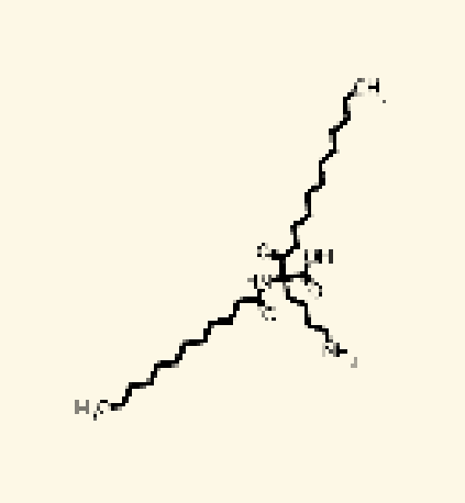 CCCCCCCCCCCC(=O)N[C@@](CCCCN)(C(=O)O)C(=O)CCCCCCCCCCC